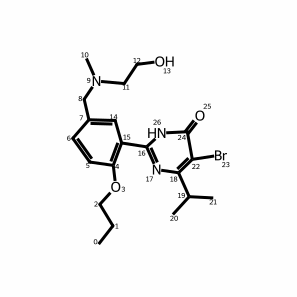 CCCOc1ccc(CN(C)CCO)cc1-c1nc(C(C)C)c(Br)c(=O)[nH]1